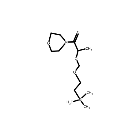 CC(OCOCC[Si](C)(C)C)C(=O)N1CCOCC1